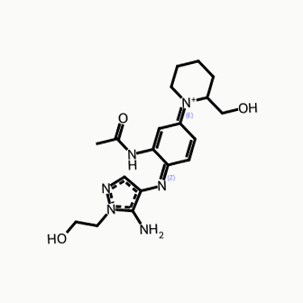 CC(=O)NC1=CC(=[N+]2\CCCCC2CO)/C=CC/1=N/c1cnn(CCO)c1N